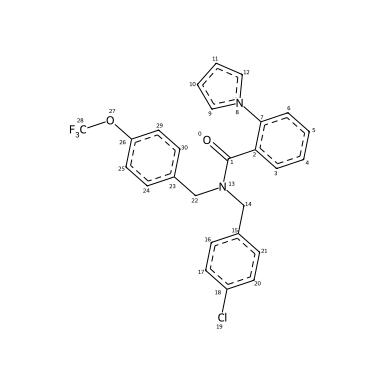 O=C(c1ccccc1-n1cccc1)N(Cc1ccc(Cl)cc1)Cc1ccc(OC(F)(F)F)cc1